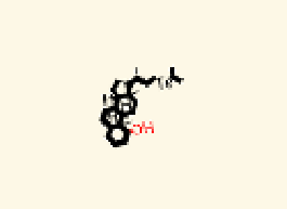 CC(C)[Te]CC[C@@H](C)[C@H]1CC[C@H]2[C@@H]3CCC4CCCC(O)[C@]4(C)[C@H]3CC[C@]12C